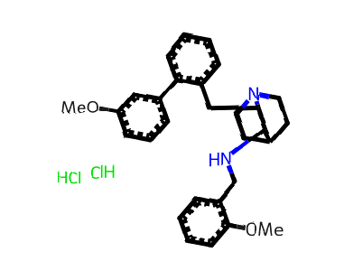 COc1cccc(-c2ccccc2CC2C(NCc3ccccc3OC)C3CCN2CC3)c1.Cl.Cl